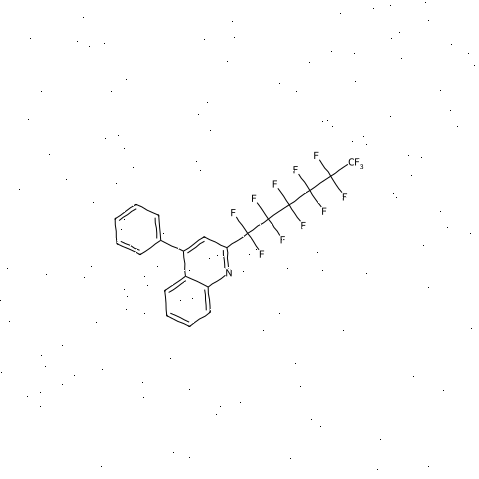 FC(F)(F)C(F)(F)C(F)(F)C(F)(F)C(F)(F)C(F)(F)c1cc(-c2ccccc2)c2ccccc2n1